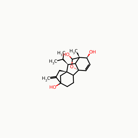 C=C1C[C@]23CC1(O)CCC2[C@@]12C=C[C@H](O)[C@@](C)(C(O)O1)C2[C@@H]3C(C)C